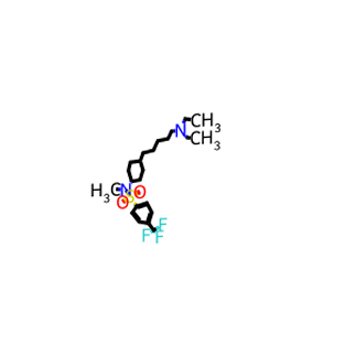 CCN(CC)CCCCCC1CCC(N(C)S(=O)(=O)c2ccc(C(F)(F)F)cc2)CC1